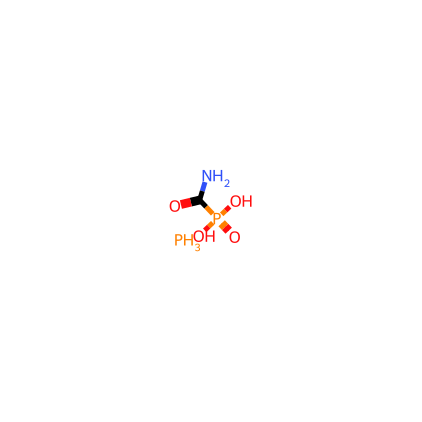 NC(=O)P(=O)(O)O.P